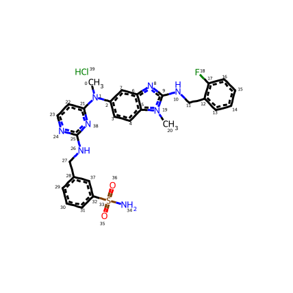 CN(c1ccc2c(c1)nc(NCc1ccccc1F)n2C)c1ccnc(NCc2cccc(S(N)(=O)=O)c2)n1.Cl